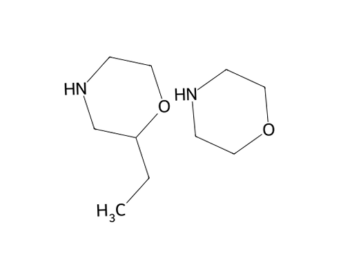 C1COCCN1.CCC1CNCCO1